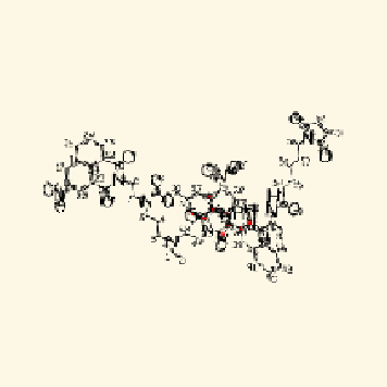 CCN(CCCN(CCN1C(=O)c2cccc3cc([N+](=O)[O-])cc(c23)C1=O)C(=O)OCc1ccc(NC(=O)[C@H](Cc2ccccc2)NC(=O)[C@H](C)NC(=O)CCCCCN2C(=O)C=CC2=O)cc1)CCN1C(=O)c2cccc3cc([N+](=O)[O-])cc(c23)C1=O